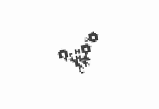 O=c1cc(CSc2ccccn2)[nH]c2c(-c3ccc(Sc4ccccc4)cc3)cnn12